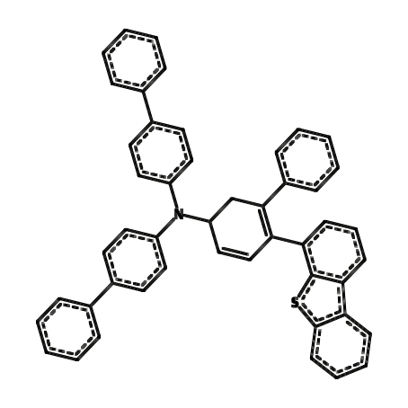 C1=CC(N(c2ccc(-c3ccccc3)cc2)c2ccc(-c3ccccc3)cc2)CC(c2ccccc2)=C1c1cccc2c1sc1ccccc12